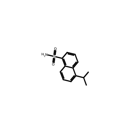 CC(C)c1cccc2c(S(N)(=O)=O)cccc12